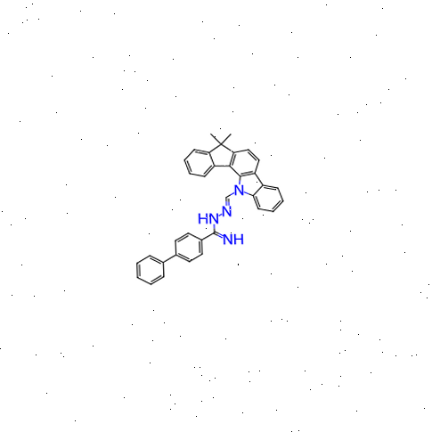 CC1(C)c2ccccc2-c2c1ccc1c3ccccc3n(/C=N/NC(=N)c3ccc(-c4ccccc4)cc3)c21